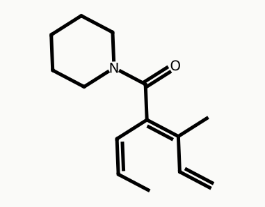 C=C/C(C)=C(\C=C/C)C(=O)N1CCCCC1